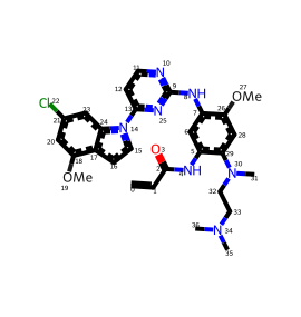 C=CC(=O)Nc1cc(Nc2nccc(-n3ccc4c(OC)cc(Cl)cc43)n2)c(OC)cc1N(C)CCN(C)C